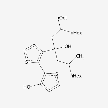 CCCCCCCCC(CCCCCC)CC(O)(CC(C)CCCCCC)c1ccsc1-c1sccc1O